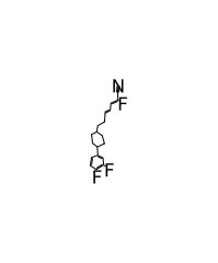 N#CC(F)=CC=CCCC1CCC(c2ccc(F)c(F)c2)CC1